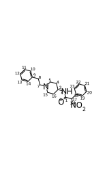 O=C(NC1CCN(CCc2ccccc2)CC1)C(c1ccccc1)[N+](=O)[O-]